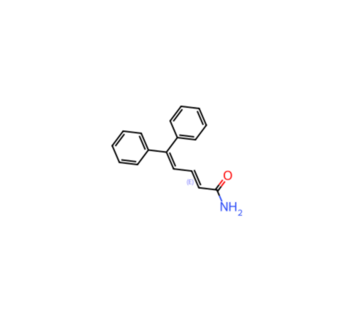 NC(=O)/C=C/C=C(c1ccccc1)c1ccccc1